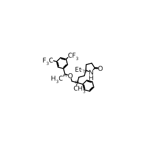 CC[C@]1(CC[C@@](C)(CO[C@H](C)c2cc(C(F)(F)F)cc(C(F)(F)F)c2)c2ccccc2)CCC(=O)N1